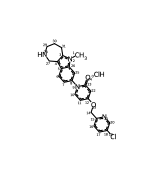 Cl.Cn1c2c(c3ccc(-n4ccc(OCc5ccc(Cl)cn5)cc4=O)cc31)CNCCC2